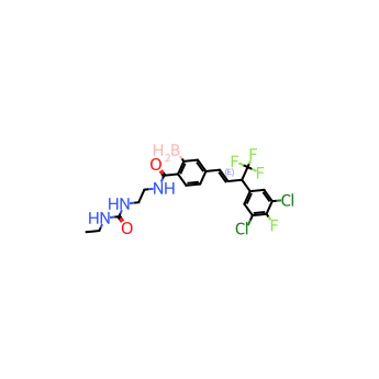 Bc1cc(/C=C/C(c2cc(Cl)c(F)c(Cl)c2)C(F)(F)F)ccc1C(=O)NCCNC(=O)NCC